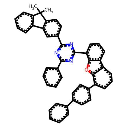 CC1(C)c2ccccc2-c2cc(-c3nc(-c4ccccc4)nc(-c4cccc5c4oc4c(-c6ccc(-c7ccccc7)cc6)cccc45)n3)ccc21